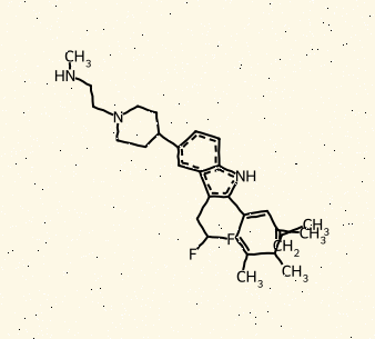 C=C(C)/C=C(\C=C(\C)C(C)CC)c1[nH]c2ccc(C3CCN(CCNC)CC3)cc2c1CC(F)F